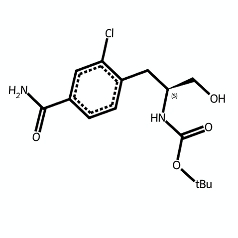 CC(C)(C)OC(=O)N[C@H](CO)Cc1ccc(C(N)=O)cc1Cl